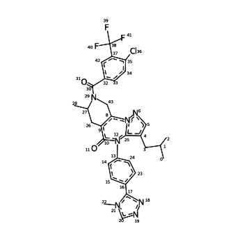 CC(C)Cc1cnn2c3c(c(=O)n(-c4ccc(-c5nncn5C)cc4)c12)CC(C)N(C(=O)c1ccc(Cl)c(C(F)(F)F)c1)C3